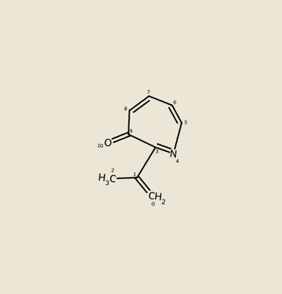 C=C(C)c1nccccc1=O